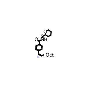 CCCCCCCC/C=C\c1ccc(C(=O)NOC2CCCCO2)cc1